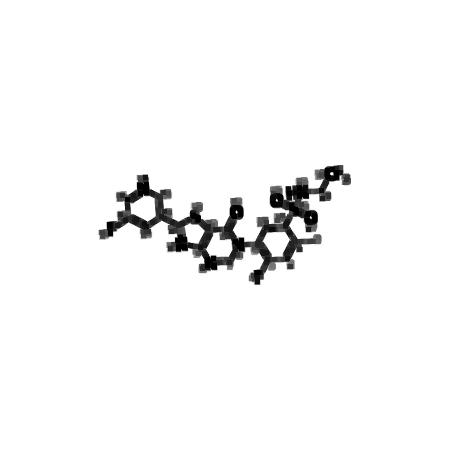 Cc1cc(F)c(-n2cnc3nc(-c4cncc(F)c4)sc3c2=O)cc1S(=O)(=O)NCC(F)(F)F